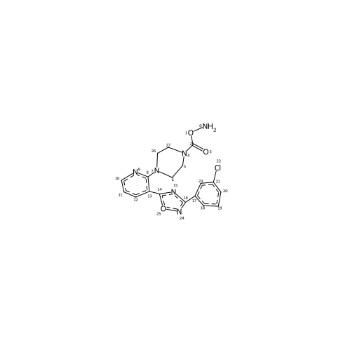 NOC(=O)N1CCN(c2ncccc2-c2nc(-c3cccc(Cl)c3)no2)CC1